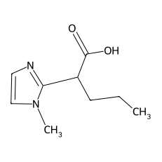 CCCC(C(=O)O)c1nccn1C